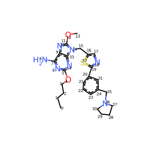 CCCCOc1nc(N)c2nc(OC)n(Cc3cnc(-c4cccc(CN5CCCC5)c4)s3)c2n1